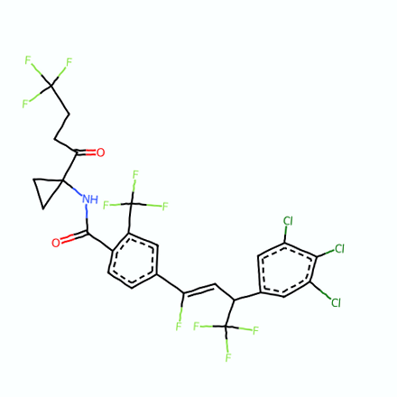 O=C(NC1(C(=O)CCC(F)(F)F)CC1)c1ccc(/C(F)=C/C(c2cc(Cl)c(Cl)c(Cl)c2)C(F)(F)F)cc1C(F)(F)F